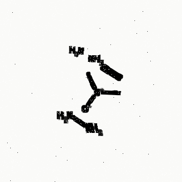 C=C.C[S+](C)[O-].N.N.NN